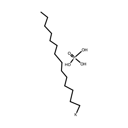 CCCCCCCCCCCCC[CH2][K].O=P(O)(O)O